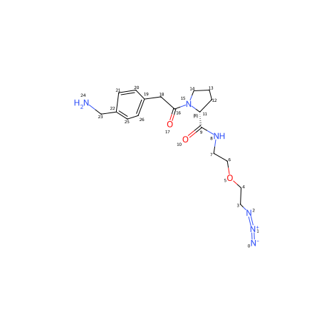 [N-]=[N+]=NCCOCCNC(=O)[C@H]1CCCN1C(=O)Cc1ccc(CN)cc1